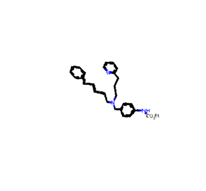 CCOC(=O)Nc1ccc(CN(CCCCCc2ccccc2)CCCc2ccccn2)cc1